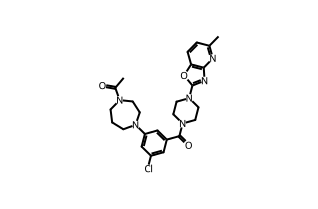 CC(=O)N1CCCN(c2cc(Cl)cc(C(=O)N3CCN(c4nc5nc(C)ccc5o4)CC3)c2)CC1